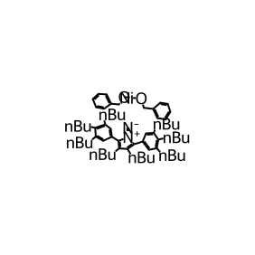 CCCCC1=C(c2cc(CCCC)c(CCCC)c(CCCC)c2)[N+](=[N-])C(c2cc(CCCC)c(CCCC)c(CCCC)c2)=C1CCCC.c1ccc(C[O][Ni][O]Cc2ccccc2)cc1